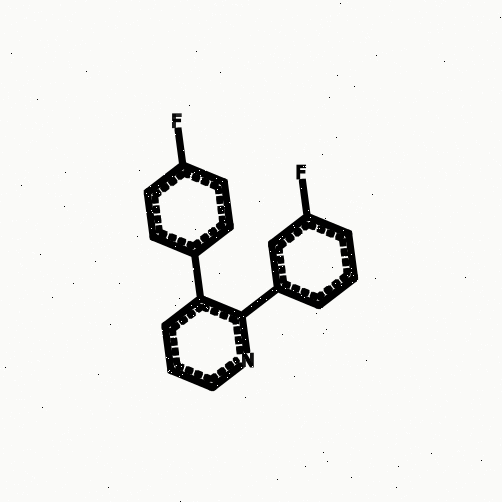 Fc1ccc(-c2cccnc2-c2cccc(F)c2)cc1